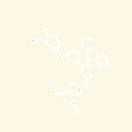 CC(=O)c1ccc(Oc2ccc(C3(c4ccc(Oc5ccc6c(c5)C(=O)CC6=O)cc4)C4=C(CCC=C4)c4ccccc43)cc2)cc1C(C)=O